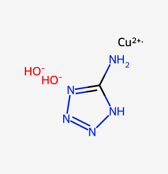 Nc1nnn[nH]1.[Cu+2].[OH-].[OH-]